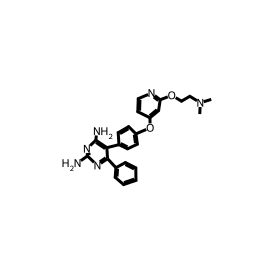 CN(C)CCOc1cc(Oc2ccc(-c3c(N)nc(N)nc3-c3ccccc3)cc2)ccn1